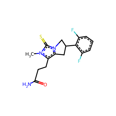 Cn1c(CCC(N)=O)c2n(c1=S)CC(c1c(F)cccc1F)C2